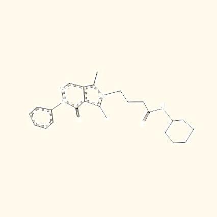 Cc1c2cnn(-c3ccccc3)c(=O)c2c(C)n1CCCC(=O)NC1CCCCC1